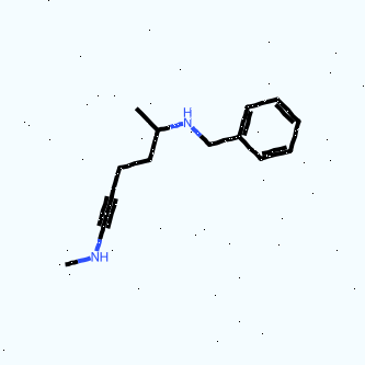 CNC#CCCC(C)NCc1ccccc1